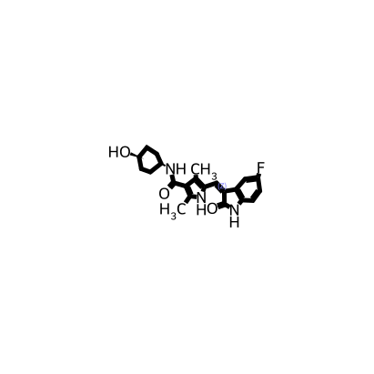 Cc1[nH]c(/C=C2\C(=O)Nc3ccc(F)cc32)c(C)c1C(=O)N[C@H]1CC[C@H](O)CC1